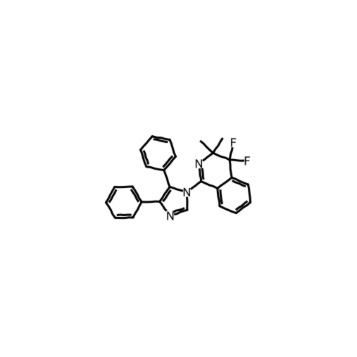 CC1(C)N=C(n2cnc(-c3ccccc3)c2-c2ccccc2)c2ccccc2C1(F)F